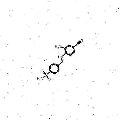 N#Cc1ccc(NCc2ccc(S(N)(=O)=O)cc2)c(N)c1